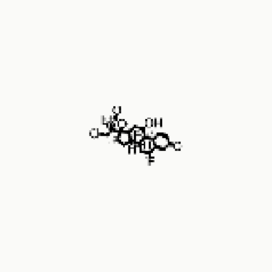 CCC(=O)OC1(C(=O)CCl)[C@@H](C)C[C@H]2[C@@H]3C[C@H](F)C4=CC(=O)C=C[C@]4(C)[C@@]3(F)[C@@H](O)C[C@@]21C